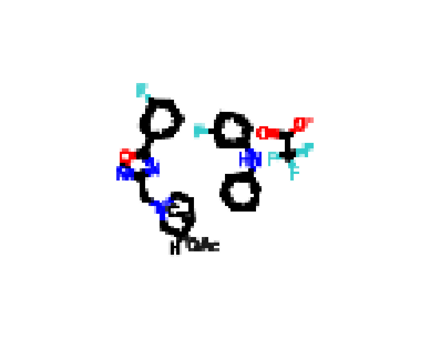 CC(=O)O[C@H]1C[N+]2(Cc3noc(-c4cccc(F)c4)n3)CCC1CC2.Fc1cccc(Nc2ccccc2)c1.O=C([O-])C(F)(F)F